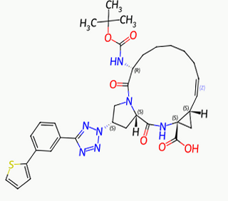 CC(C)(C)OC(=O)N[C@@H]1CCCCC/C=C\[C@@H]2C[C@]2(C(=O)O)NC(=O)[C@@H]2C[C@H](n3nnc(-c4cccc(-c5cccs5)c4)n3)CN2C1=O